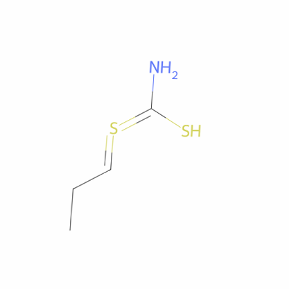 CCC=S=C(N)S